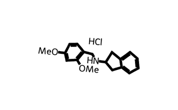 COc1ccc(CNC2Cc3ccccc3C2)c(OC)c1.Cl